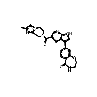 Cc1cn2c(n1)CN(C(=O)c1cnc3[nH]cc(-c4ccc5c(c4)OCCNC5=O)c3c1)CC2